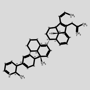 C=C(C)CC1=C(/C=C\C)C2CC[C@@H](C3=C4CCCCC4[C@@](C)(C4C=CC(C5C=CC=NC5C)=CC4)C=C3)C3C=CC=C1[C@@H]23